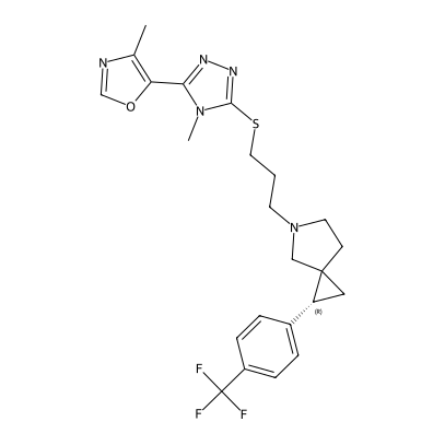 Cc1ncoc1-c1nnc(SCCCN2CCC3(C[C@@H]3c3ccc(C(F)(F)F)cc3)C2)n1C